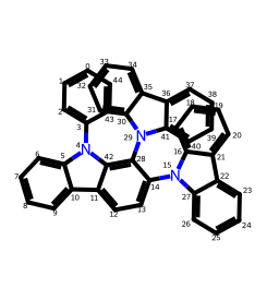 c1ccc(-n2c3ccccc3c3ccc(-n4c5ccccc5c5ccccc54)c(-n4c5ccccc5c5ccccc54)c32)cc1